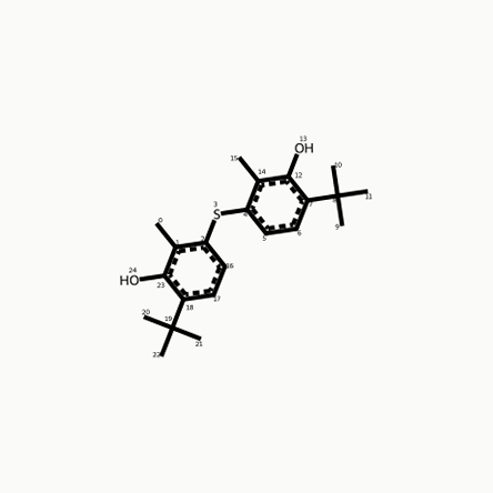 Cc1c(Sc2ccc(C(C)(C)C)c(O)c2C)ccc(C(C)(C)C)c1O